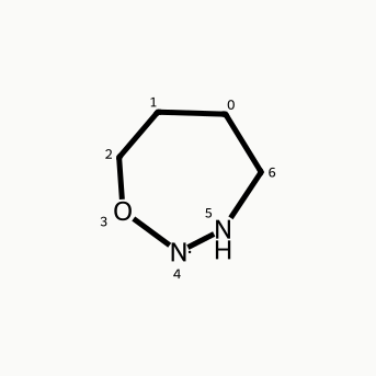 C1CCO[N]NC1